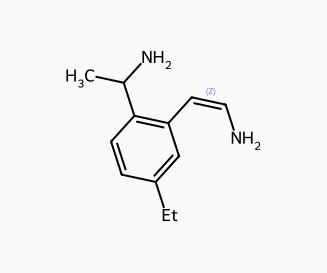 CCc1ccc(C(C)N)c(/C=C\N)c1